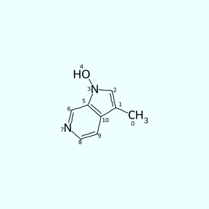 Cc1cn(O)c2cnccc12